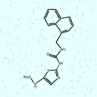 CONc1cnc(NC(=O)NCc2cccc3ccccc23)s1